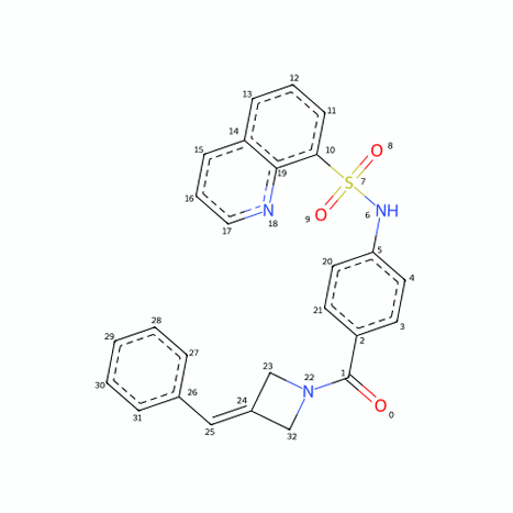 O=C(c1ccc(NS(=O)(=O)c2cccc3cccnc23)cc1)N1CC(=Cc2ccccc2)C1